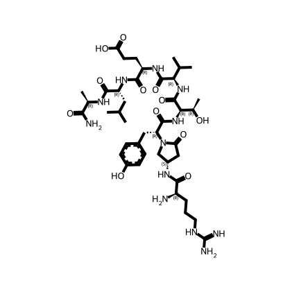 CC(C)C[C@@H](NC(=O)[C@@H](CCC(=O)O)NC(=O)[C@H](NC(=O)[C@H](NC(=O)[C@@H](Cc1ccc(O)cc1)N1C[C@@H](NC(=O)[C@H](N)CCCNC(=N)N)CC1=O)[C@@H](C)O)C(C)C)C(=O)N[C@H](C)C(N)=O